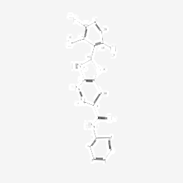 O=C(Nc1ccccc1)c1cc2c(nn1)NC(c1c(Cl)ccc(F)c1Cl)O2